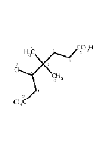 CC(C)(CCC(=O)O)C(Cl)CC(Cl)(Cl)Cl